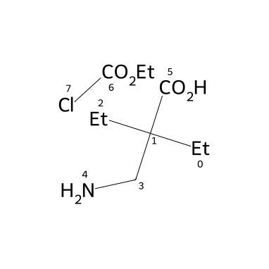 CCC(CC)(CN)C(=O)O.CCOC(=O)Cl